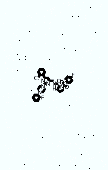 O=C(NCc1cc(-c2ccccc2Cl)nc(N2CCN(c3ccccc3F)CC2)n1)[C@@H]1CCCN1S(=O)(=O)c1ccc(F)cc1